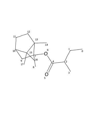 CCC(C)C(=O)OC1(C)CC2CCC1(C)C2(C)C